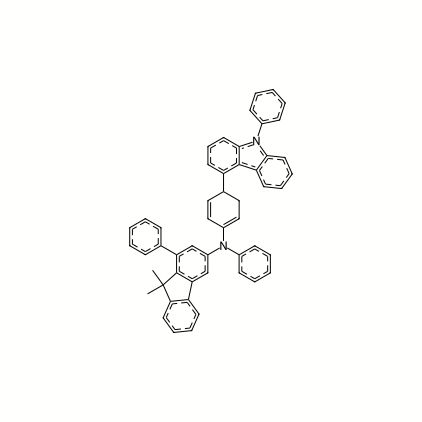 CC1(C)c2ccccc2-c2cc(N(C3=CCC(c4cccc5c4c4ccccc4n5-c4ccccc4)C=C3)c3ccccc3)cc(-c3ccccc3)c21